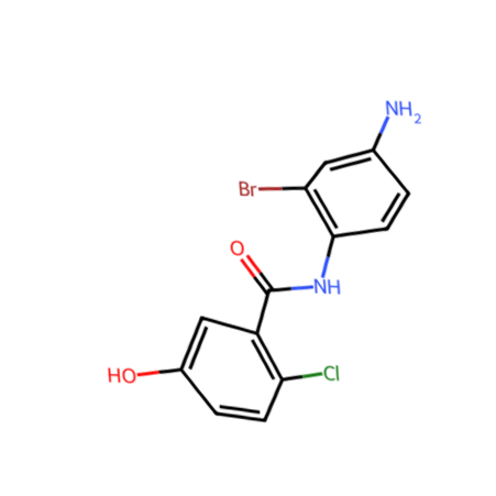 Nc1ccc(NC(=O)c2cc(O)ccc2Cl)c(Br)c1